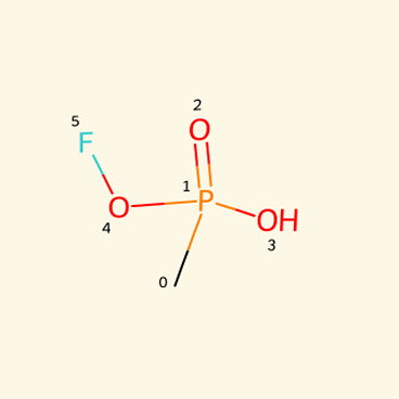 CP(=O)(O)OF